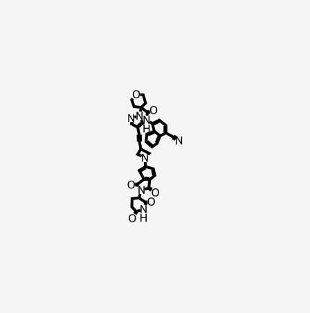 N#Cc1ccc(NC(=O)C2(n3cc(C#CC4CN(c5ccc6c(c5)C(=O)N(C5CCC(=O)NC5=O)C6=O)C4)cn3)CCOCC2)c2ccccc12